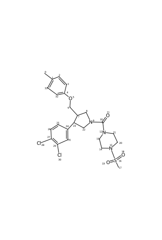 Cc1ccc(OCC2CN(C(=O)N3CCN(S(C)(=O)=O)CC3)CC2c2ccc(Cl)c(Cl)c2)cc1